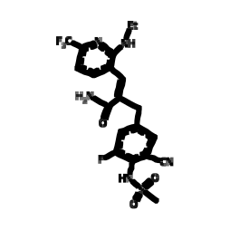 CCNc1nc(C(F)(F)F)ccc1/C=C(/Cc1cc(F)c(NS(C)(=O)=O)c(C#N)c1)C(N)=O